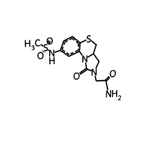 CS(=O)(=O)Nc1ccc2c(c1)N1C(=O)N(CC(N)=O)CC1CS2